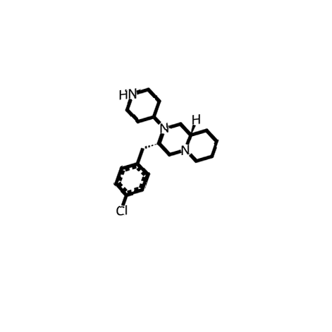 Clc1ccc(C[C@H]2CN3CCCC[C@H]3CN2C2CCNCC2)cc1